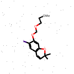 COCCOCOc1cc2c(cc1I)C=CC(C)(C)O2